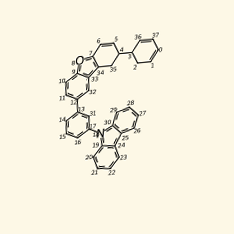 C1=CCC(C2C=Cc3oc4ccc(-c5cccc(-n6c7ccccc7c7ccccc76)c5)cc4c3C2)C=C1